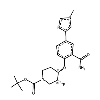 Cn1cnc(-c2ccc(O[C@@H]3CCN(C(=O)OC(C)(C)C)C[C@H]3F)c(C(N)=O)c2)c1